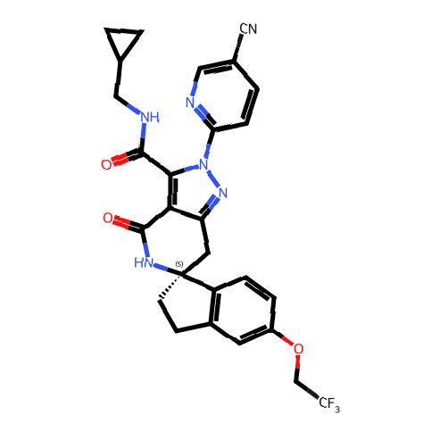 N#Cc1ccc(-n2nc3c(c2C(=O)NCC2CC2)C(=O)N[C@@]2(CCc4cc(OCC(F)(F)F)ccc42)C3)nc1